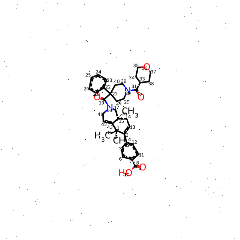 CC1(C)C(c2ccc(C(=O)O)cc2)=CC[C@]2(C)CN(C(=O)C3(c4ccccc4)CCN(C(=O)C4CCOCC4)CC3)CC=C12